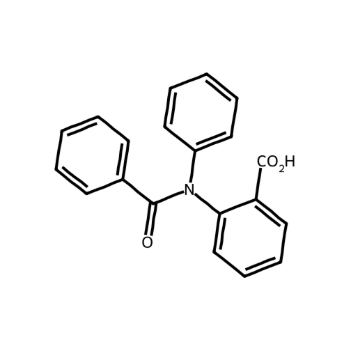 O=C(O)c1ccccc1N(C(=O)c1ccccc1)c1ccccc1